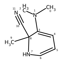 CN(C)C1=CC=CNC1(C)C#N